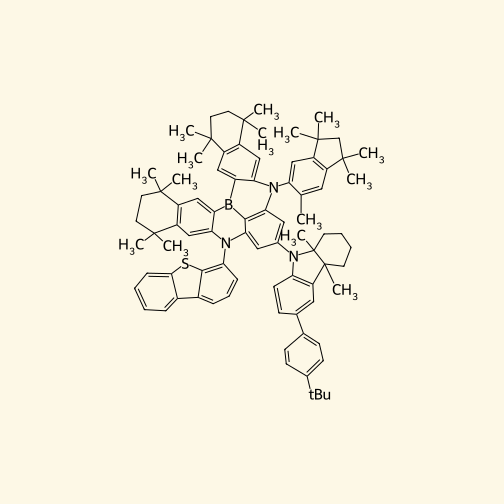 Cc1cc2c(cc1N1c3cc4c(cc3B3c5cc6c(cc5N(c5cccc7c5sc5ccccc57)c5cc(N7c8ccc(-c9ccc(C(C)(C)C)cc9)cc8C8(C)CCCCC78C)cc1c53)C(C)(C)CCC6(C)C)C(C)(C)CCC4(C)C)C(C)(C)CC2(C)C